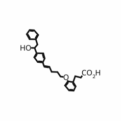 O=C(O)CCc1ccccc1OCCC/C=C/c1ccc(C(O)Cc2ccccc2)cc1